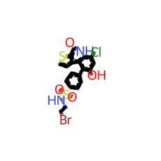 O=c1[nH]c2c(Cl)cc(O)c(-c3ccc(S(=O)(=O)NCCBr)cc3)c2c2ccsc12